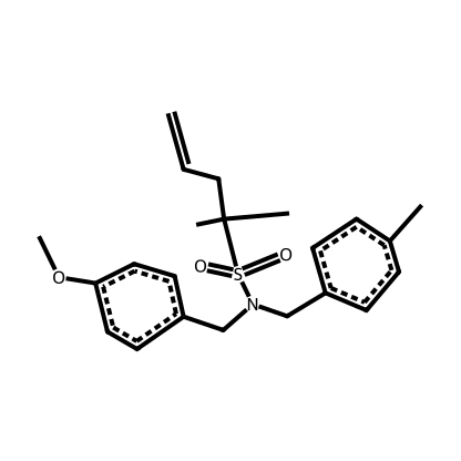 C=CCC(C)(C)S(=O)(=O)N(Cc1ccc(C)cc1)Cc1ccc(OC)cc1